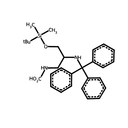 CC(C)(C)[Si](C)(C)OCC(CNC(=O)O)NC(c1ccccc1)(c1ccccc1)c1ccccc1